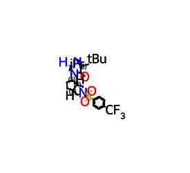 CC(C)CN(C(=O)[C@@H](N)CC(C)(C)C)[C@H]1CC[C@@H]2CN(S(=O)(=O)c3ccc(C(F)(F)F)cc3)C[C@@H]21